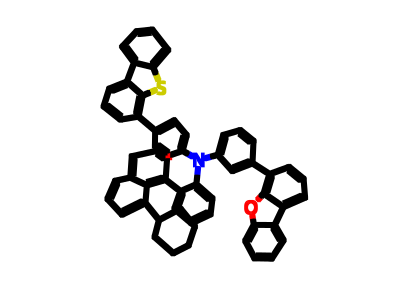 c1cc(-c2cccc3c2oc2ccccc23)cc(N(c2ccc(-c3cccc4c3sc3ccccc34)cc2)c2ccccc2-c2cccc3cccc(C4CCCCC4)c23)c1